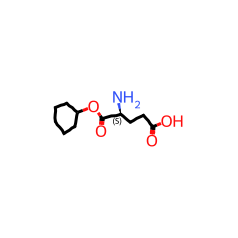 N[C@@H](CCC(=O)O)C(=O)OC1CCCCC1